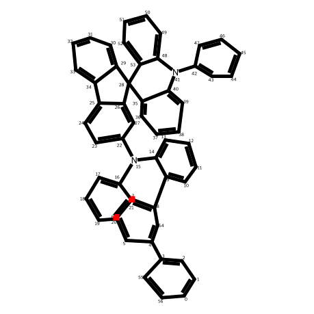 c1ccc(-c2cccc(-c3ccccc3N(c3ccccc3)c3ccc4c(c3)C3(c5ccccc5-4)c4ccccc4N(c4ccccc4)c4ccccc43)c2)cc1